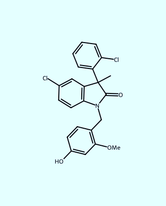 COc1cc(O)ccc1CN1C(=O)C(C)(c2ccccc2Cl)c2cc(Cl)ccc21